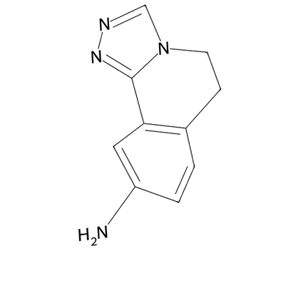 Nc1ccc2c(c1)-c1nncn1CC2